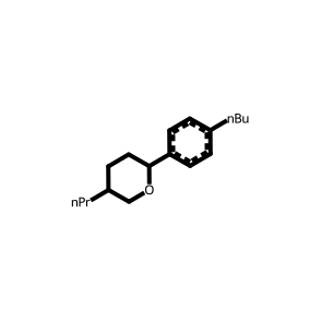 CCCCc1ccc(C2CCC(CCC)CO2)cc1